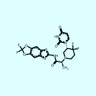 C[C@@H](C(=O)Nc1nc2cc3c(cc2s1)OC(F)(F)O3)N1CCC(F)(F)[C@@H](n2ccc(=O)[nH]c2=O)C1